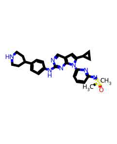 CS(C)(=O)=Nc1cccc(-n2c(C3CC3)cc3cnc(Nc4ccc(C5CCNCC5)cc4)nc32)n1